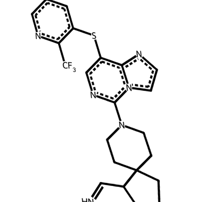 N=CC1CCCC12CCN(c1ncc(Sc3cccnc3C(F)(F)F)c3nccn13)CC2